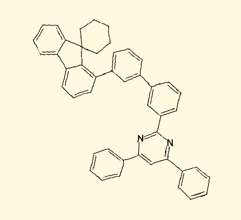 c1ccc(-c2cc(-c3ccccc3)nc(-c3cccc(-c4cccc(-c5cccc6c5C5(CCCCC5)c5ccccc5-6)c4)c3)n2)cc1